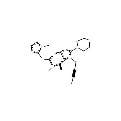 CC#CCn1c(N2CCNCC2)nc2nc(Sc3nccn3C)n(C)c(=O)c21